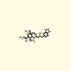 N=C/C(=C\NCc1ccc2c(c1)CCC2)Cc1cc(N)nc(NN)c1N